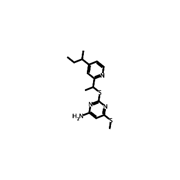 CCC(C)c1ccnc(C(C)Sc2nc(N)cc(SC)n2)c1